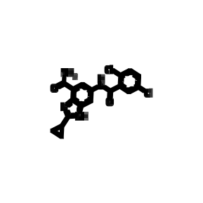 NC(=O)c1cc(NC(=O)c2cc(Cl)ccc2Cl)cc2[nH]c(C3CC3)nc12